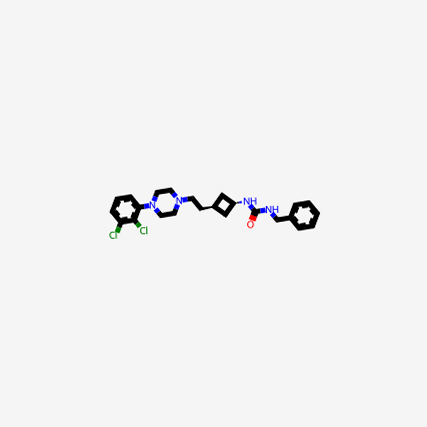 O=C(NCc1ccccc1)N[C@H]1C[C@H](CCN2CCN(c3cccc(Cl)c3Cl)CC2)C1